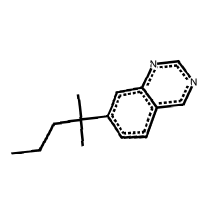 CCCC(C)(C)c1ccc2cncnc2c1